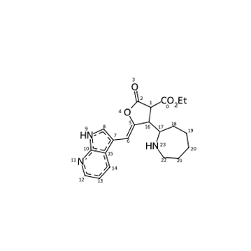 CCOC(=O)C1C(=O)OC(=Cc2c[nH]c3ncccc23)C1C1CCCCCN1